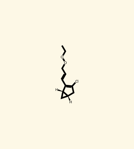 CCOOC/C=C/C1=C(Cl)C[C@@H]2C[C@H]12